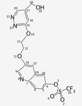 O=S(=O)(Oc1ccc2ncc(OCCOc3cc(CO)cnn3)cc2c1)C(F)(F)F